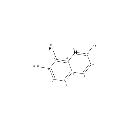 Cc1ccc2ncc(F)c(Br)c2n1